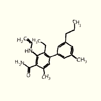 C=CNc1c(CC)c(-c2cc(C)cc(CCC)c2)cc(C)c1C(N)=O